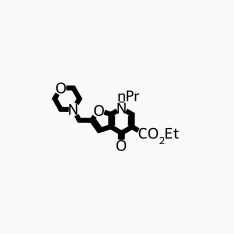 CCCn1cc(C(=O)OCC)c(=O)c2cc(CN3CCOCC3)oc21